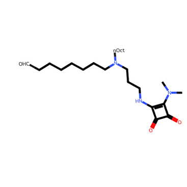 CCCCCCCCN(CCCCCCCC=O)CCCNc1c(N(C)C)c(=O)c1=O